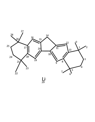 CC1(C)CCC(C)(C)c2cc3c(cc21)Cc1cc2c(cc1-3)C(C)(C)CCC2(C)C.[Li]